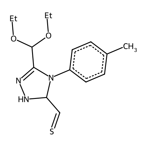 CCOC(OCC)C1=NNC(C=S)N1c1ccc(C)cc1